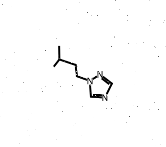 CC(C)CCn1cncn1